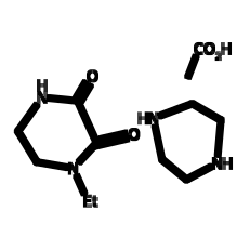 C1CNCCN1.CC(=O)O.CCN1CCNC(=O)C1=O